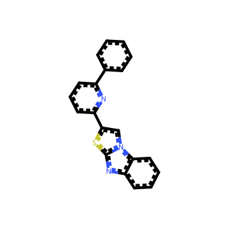 c1ccc(-c2cccc(-c3cn4c(nc5ccccc54)s3)n2)cc1